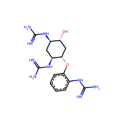 N=C(N)Nc1ccccc1O[C@H]1C[C@@H](O)[C@H](NC(=N)N)C[C@@H]1NC(=N)N